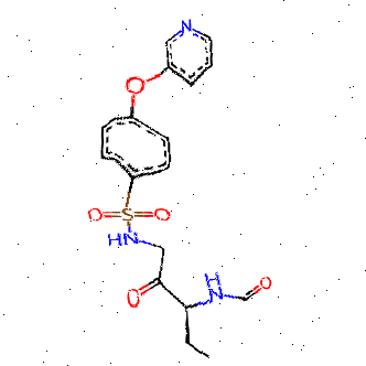 CC[C@H](NC=O)C(=O)CNS(=O)(=O)c1ccc(Oc2cccnc2)cc1